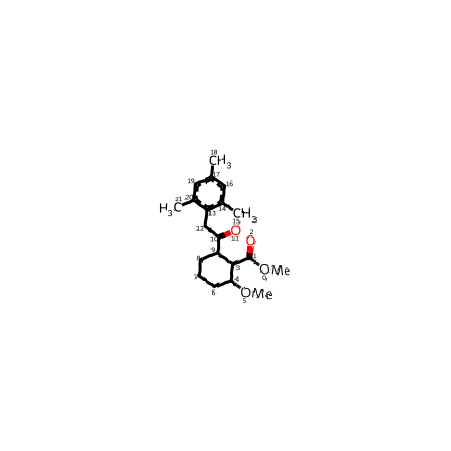 COC(=O)C1C(OC)CCCC1C(=O)Cc1c(C)cc(C)cc1C